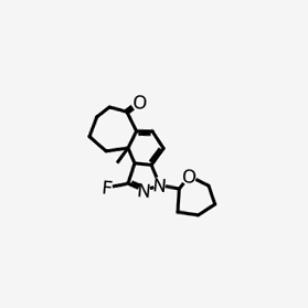 CC12CCCCC(=O)C1=CC=C1C2C(F)=NN1C1CCCCO1